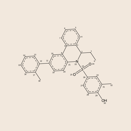 CCC1c2ccccc2-c2cc(-c3ccccc3C)ccc2N1S(=O)(=O)c1ccc(O)c(C)c1